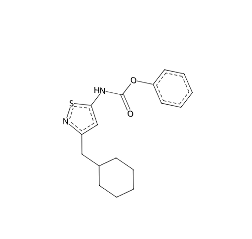 O=C(Nc1cc(CC2CCCCC2)ns1)Oc1ccccc1